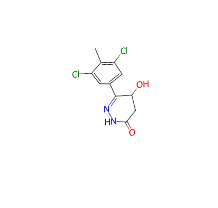 Cc1c(Cl)cc(C2=NNC(=O)CC2O)cc1Cl